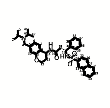 CC(C)N(Cc1ccc2c(c1)OCCC2NC(=O)C[C@@H](NS(=O)(=O)c1ccc2ccccc2c1)c1ccccc1)C(C)C